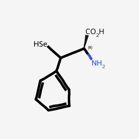 N[C@H](C(=O)O)C([SeH])c1ccccc1